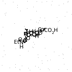 C=C(C)[C@@H]1CC[C@]2(CC(=O)N3CC[C@H](NC(=O)CC)C3)CC[C@]3(C)[C@H](CC[C@@H]4[C@@]5(C)CC[C@H](OC(=O)CC(C)(C)C(=O)O)C(C)(C)[C@@H]5CC[C@]43C)[C@@H]12